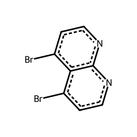 Brc1ccnc2nccc(Br)c12